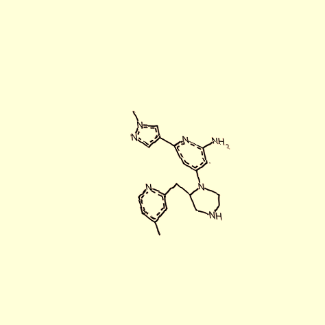 Cc1ccnc(CC2CNCCN2c2[c]c(N)nc(-c3cnn(C)c3)c2)c1